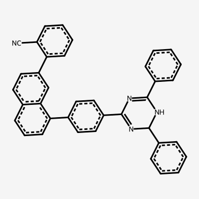 N#Cc1ccccc1-c1ccc2cccc(-c3ccc(C4=NC(c5ccccc5)NC(c5ccccc5)=N4)cc3)c2c1